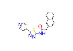 O=C(Cc1ccc2ccccc2c1)Nc1nnc(-c2ccncc2)s1